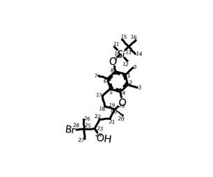 Cc1c(C)c2c(c(C)c1O[Si](C)(C)C(C)(C)C)CC[C@@](C)(CCC(O)C(C)(C)Br)O2